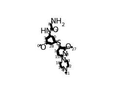 COc1cc(NC(=O)CN)cc(Sc2ccc(N3CCN(C)CC3)nc2OC)c1